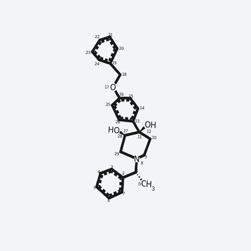 C[C@H](c1ccccc1)N1CC[C@@](O)(c2ccc(OCc3ccccc3)cc2)[C@H](O)C1